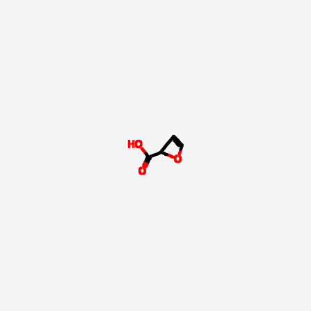 O=C(O)C1C=CO1